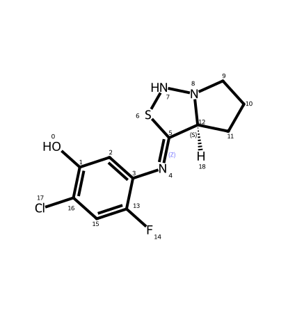 Oc1cc(/N=C2\SNN3CCC[C@@H]23)c(F)cc1Cl